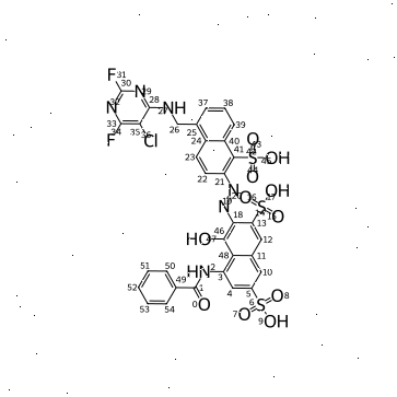 O=C(Nc1cc(S(=O)(=O)O)cc2cc(S(=O)(=O)O)c(N=Nc3ccc4c(CNc5nc(F)nc(F)c5Cl)cccc4c3S(=O)(=O)O)c(O)c12)c1ccccc1